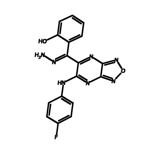 N/N=C(\c1ccccc1O)c1nc2nonc2nc1Nc1ccc(F)cc1